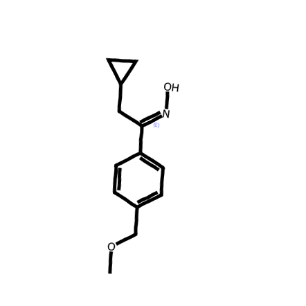 COCc1ccc(/C(CC2CC2)=N/O)cc1